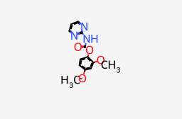 COc1ccc(OC(=O)Nc2ncccn2)c(OC)c1